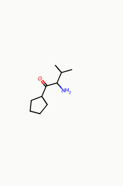 CC(C)C(N)C(=O)C1CCCC1